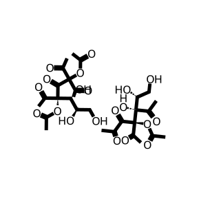 CC(=O)OC(C(C)=O)(C(C)=O)C(=O)[C@](OC(C)=O)(C(C)=O)[C@H](O)[C@H](O)CO.CC(=O)O[C@@](C(C)=O)(C(=O)C(C)=O)[C@](O)(C(C)=O)[C@H](O)CO